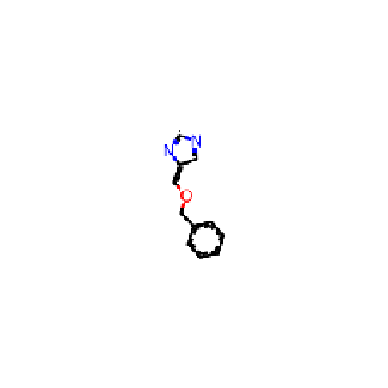 [C]1=NC(=COCc2ccccc2)C=N1